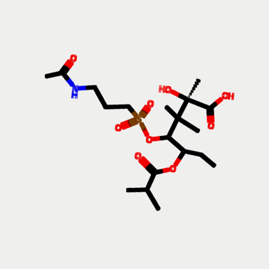 CCC(OC(=O)C(C)C)C(OS(=O)(=O)CCCNC(C)=O)C(C)(C)[C@@](C)(O)C(=O)O